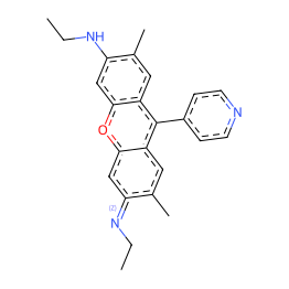 CC/N=c1/cc2oc3cc(NCC)c(C)cc3c(-c3ccncc3)c-2cc1C